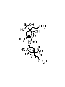 O=C(O)CCC(CC(O[PH](=O)OC(CC(CCC(=O)O)(P(=O)(O)O)P(=O)(O)O)C(=O)O)C(=O)O)(P(=O)(O)O)P(=O)(O)O